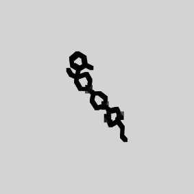 CCCc1cnc(N2CCC(N3CCC(CC)(c4ccccc4C)CC3)CC2)cn1